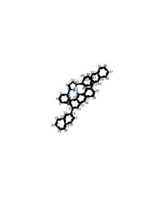 C1=C(c2ccccc2)N(c2c3ccc(-c4ccc5ccccc5c4)cc3cc3ccc(-c4ccc5ccccc5c4)cc23)C(c2ccccc2)C1